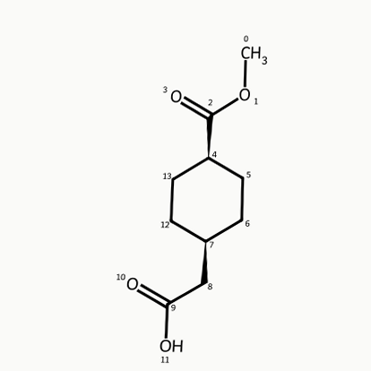 COC(=O)[C@H]1CC[C@@H](CC(=O)O)CC1